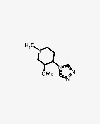 COC1CN(C)CCC1n1cnnc1